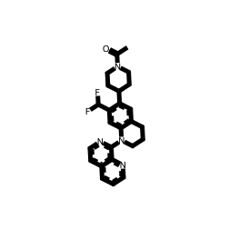 CC(=O)N1CCC(c2cc3c(cc2C(F)F)N(c2nccc4cccnc24)CCC3)CC1